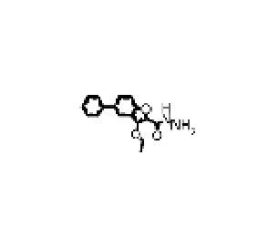 CCOc1c(C(=O)NN)oc2ccc(-c3ccccc3)cc12